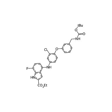 CCOC(=O)c1cc2c(Nc3ccc(Oc4cccc(CNC(=O)OC(C)(C)C)c4)c(Cl)c3)ccc(F)c2[nH]1